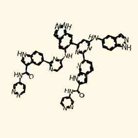 O=C(Nc1ccnnc1)c1cc2ccc(-c3nc(Nc4ccc5[nH]ncc5c4)cc(-c4cc5[nH]ncc5cc4Nc4ccnc(-c5ccc6[nH]cc(C(=O)Nc7ccnnc7)c6c5)n4)n3)nc2[nH]1